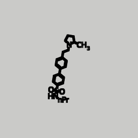 CCCNS(=O)(=O)c1ccc(-c2ccc(CCN3CCCC3C)cc2)cc1